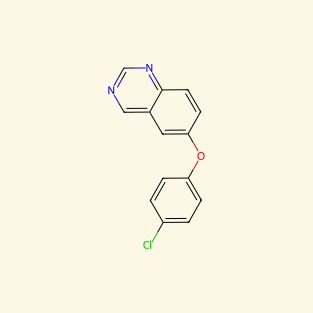 Clc1ccc(Oc2ccc3ncncc3c2)cc1